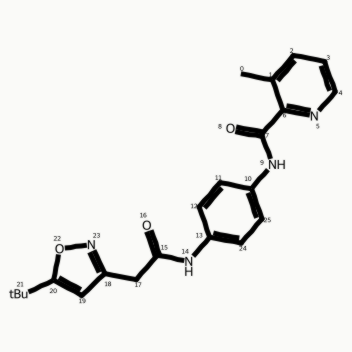 Cc1cccnc1C(=O)Nc1ccc(NC(=O)Cc2cc(C(C)(C)C)on2)cc1